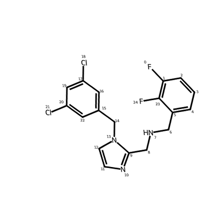 Fc1cccc(CNCc2nccn2Cc2cc(Cl)cc(Cl)c2)c1F